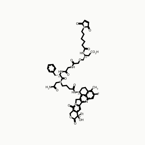 CC[C@@]1(O)C(=O)OCc2c1cc1n(c2=O)Cc2c-1nc1cc(F)c(C)c3c1c2[C@@H](NC(=O)CCCN(CC(N)=O)C(=O)[C@H](Cc1ccccc1)NC(=O)CNC(=O)COC[C@H](CC(=O)O)NC(=O)CCCCCN1C(=O)C=CC1=O)CC3